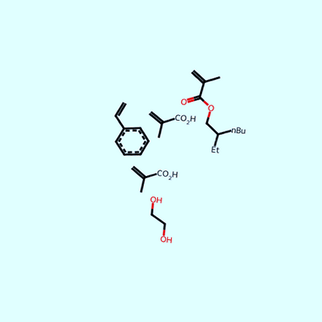 C=C(C)C(=O)O.C=C(C)C(=O)O.C=C(C)C(=O)OCC(CC)CCCC.C=Cc1ccccc1.OCCO